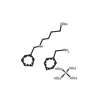 CCCCCCCCCCCCCCNCc1ccccc1.CCCCCCCC[N+](CCCCCCCC)(CCCCCCCC)CCCCCCCC.NCc1ccccc1